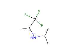 CC(C)NC(C)C(F)(F)F